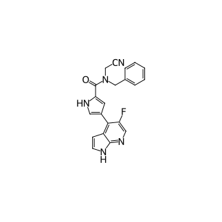 N#CCN(Cc1ccccc1)C(=O)c1cc(-c2c(F)cnc3[nH]ccc23)c[nH]1